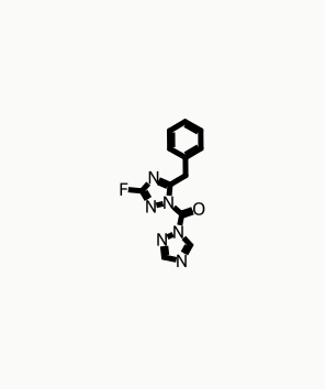 O=C(n1cncn1)n1nc(F)nc1Cc1ccccc1